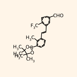 Cc1c(/C=C/c2cc(C=O)ccc2C(F)(F)F)cccc1B1OC(C)(C)C(C)(C)O1